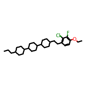 CCCC1CCC(C2CCC(C3CCC(CCc4ccc(OCC)c(F)c4Cl)CC3)CC2)CC1